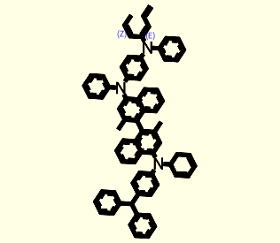 C=C/C=C(\C=C/C)N(c1ccccc1)c1ccc(N(c2ccccc2)c2cc(C)c(-c3c(C)cc(N(c4ccc(C(c5ccccc5)c5ccccc5)cc4)C4C=CC=CC4)c4ccccc34)c3ccccc23)cc1